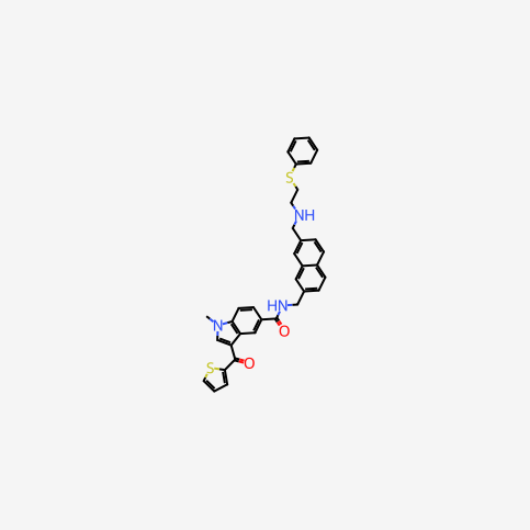 Cn1cc(C(=O)c2cccs2)c2cc(C(=O)NCc3ccc4ccc(CNCCSc5ccccc5)cc4c3)ccc21